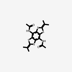 CC(=O)Nc1c2c(c(NC(C)=O)c3c1SC(=C(C)C)S3)SC(=C(C)C)S2